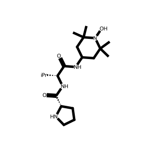 CC(C)[C@@H](NC(=O)[C@@H]1CCCN1)C(=O)NC1CC(C)(C)N(O)C(C)(C)C1